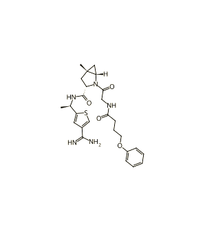 C[C@@H](NC(=O)[C@@H]1C[C@]2(C)C[C@@H]2N1C(=O)CNC(=O)CCCOc1ccccc1)c1cc(C(=N)N)cs1